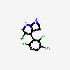 Nc1ccc(F)c(-c2c(Cl)cnc3[nH]c[c]c23)c1F